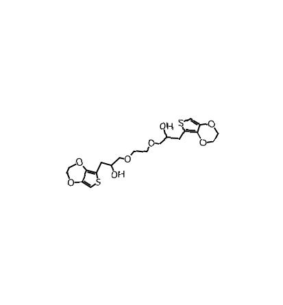 OC(COCCOCC(O)Cc1scc2c1OCCO2)Cc1scc2c1OCCO2